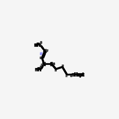 CCCCCCCCCCSN(/C=N/CCC)CCC